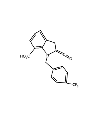 O=C=C1Cc2cccc(C(=O)O)c2N1Cc1ccc(C(F)(F)F)cc1